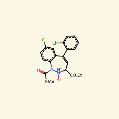 CCOC(=O)C1C=C(c2ccccc2Cl)c2cc(Cl)ccc2N(C(=O)NC)[NH+]1[O-]